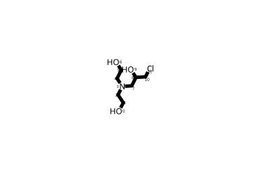 OCCN(CCO)CC(O)CCl